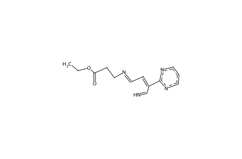 CCOC(=O)CC/N=C/C=C(\C=N)c1ncccn1